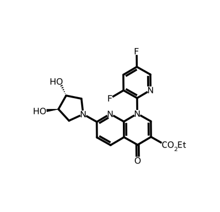 CCOC(=O)c1cn(-c2ncc(F)cc2F)c2nc(N3C[C@@H](O)[C@H](O)C3)ccc2c1=O